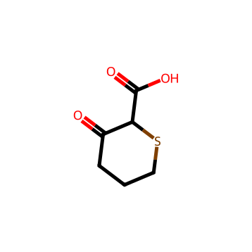 O=C(O)C1SCCCC1=O